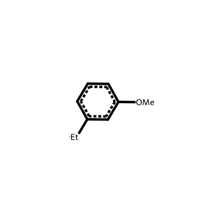 C[CH]c1cccc(OC)c1